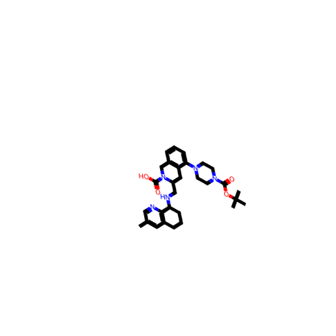 Cc1cnc2c(c1)CCCC2NCC1Cc2c(cccc2N2CCN(C(=O)OC(C)(C)C)CC2)CN1C(=O)O